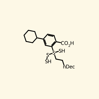 CCCCCCCCCCCCS(S)(SS)c1cc(C2CCCCC2)ccc1C(=O)O